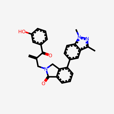 C=C(CN1Cc2c(cccc2-c2ccc3c(c2)c(C)nn3C)C1=O)C(=O)c1cccc(O)c1